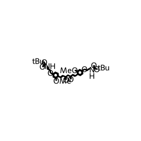 COc1cc(OCCNC(=O)OC(C)(C)C)ccc1/C=C/C(=O)CC(=O)/C=C/c1ccc(OCCNC(=O)OC(C)(C)C)cc1OC